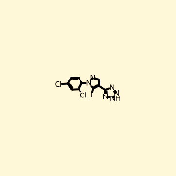 Clc1ccc(-n2ncc(-c3nn[nH]n3)c2I)c(Cl)c1